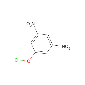 O=[N+]([O-])c1cc(OCl)cc([N+](=O)[O-])c1